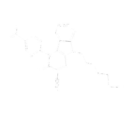 COCCOCCn1c2ccccc2c2c1cc(C#N)c(=O)n2-c1ccc([N+](=O)[O-])cc1